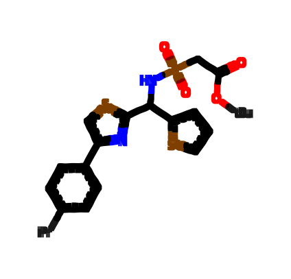 CC(C)c1ccc(-c2csc(C(NS(=O)(=O)CC(=O)OC(C)(C)C)c3cccs3)n2)cc1